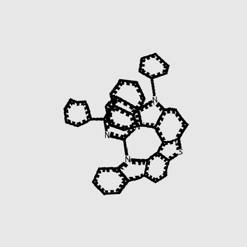 c1ccc(-c2nc(-n3c4ccccc4c4ccc5sc6ccc7c(c8ccccc8n7-c7ccccc7)c6c5c43)nc3ccccc23)cc1